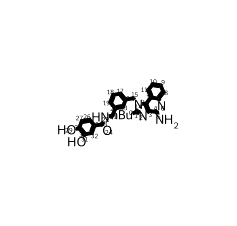 CCCCc1nc2c(N)nc3ccccc3c2n1Cc1cccc(CNC(=O)c2ccc(O)c(O)c2)c1